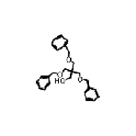 OCC(COCc1ccccc1)(COCc1ccccc1)COCc1ccccc1